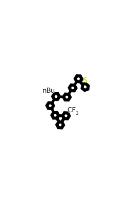 CCCCc1cc(-c2cccc(-c3ccc(-c4cccc5sc6ccccc6c45)cc3)c2)cc(-c2cccc(-c3ccc4c5ccccc5c5ccc(C(F)(F)F)cc5c4c3)c2)c1